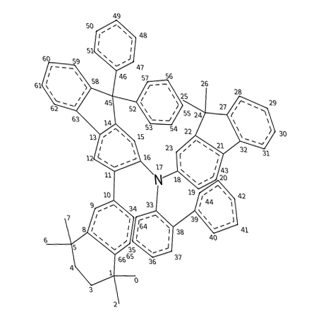 CC1(C)CCC(C)(C)c2cc(-c3cc4c(cc3N(c3ccc5c(c3)C(C)(C)c3ccccc3-5)c3ccccc3-c3ccccc3)C(c3ccccc3)(c3ccccc3)c3ccccc3-4)ccc21